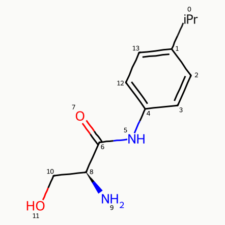 CC(C)c1ccc(NC(=O)[C@@H](N)CO)cc1